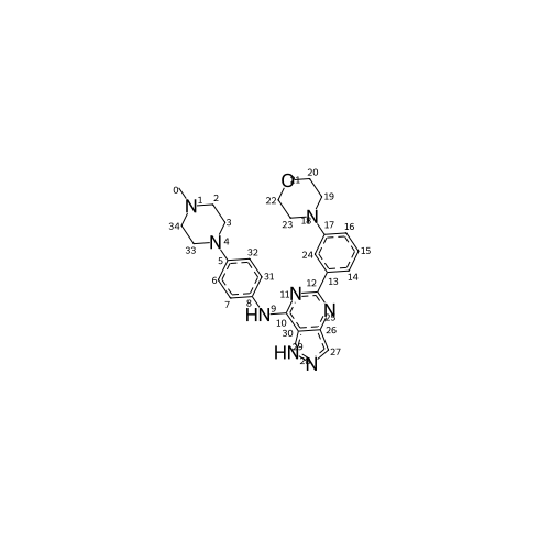 CN1CCN(c2ccc(Nc3nc(-c4cccc(N5CCOCC5)c4)nc4cn[nH]c34)cc2)CC1